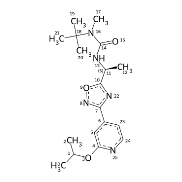 CC(C)Oc1cc(-c2noc([C@H](C)NC(=O)N(C)C(C)(C)C)n2)ccn1